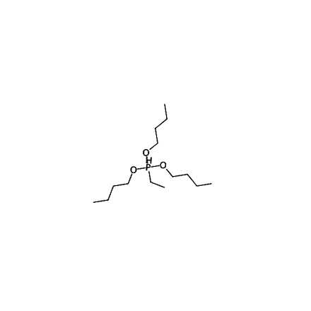 CCCCO[PH](CC)(OCCCC)OCCCC